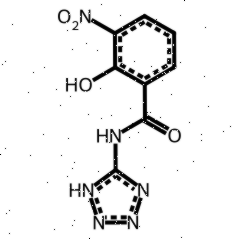 O=C(Nc1nnn[nH]1)c1cccc([N+](=O)[O-])c1O